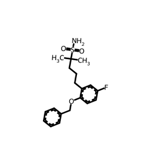 CC(C)(CCCc1cc(F)ccc1OCc1ccccc1)S(N)(=O)=O